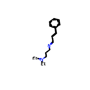 CCN(CC)CCC/N=C/C=C/c1ccccc1